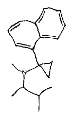 CC(C)C(C)N(C)C1(c2cccc3ccccc23)CC1